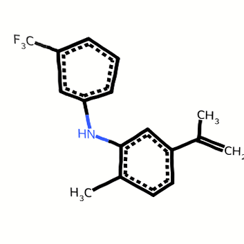 C=C(C)c1ccc(C)c(Nc2cccc(C(F)(F)F)c2)c1